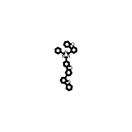 c1ccc(-c2nc(-c3ccc4c(c3)sc3ccc(-c5cccc6c5sc5ccccc56)cc34)nc(-c3cccc4oc5ccccc5c34)n2)cc1